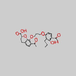 CCCc1c(OCCCOc2c(C(C)=O)ccc3c2OC(C(=O)O)CC3)ccc(C(C)=O)c1O